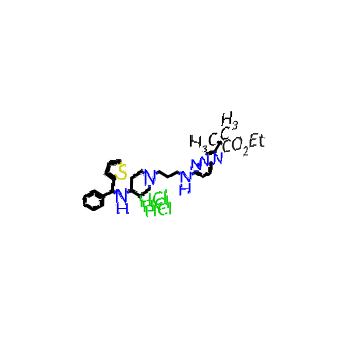 CCOC(=O)C(C)(C)c1cn2nc(NCCCN3CCC(NC(c4ccccc4)c4cccs4)CC3)ccc2n1.Cl.Cl.Cl